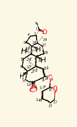 CC(=O)[C@H]1CC[C@H]2[C@@H]3CC[C@H]4CC(=O)C(OC5CCCCO5)C[C@]4(C)[C@H]3CC[C@]12C